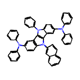 c1ccc(N(c2ccccc2)c2ccc3c(c2)c2c(c4cc(N(c5ccccc5)c5ccccc5)ccc4n2-c2ccccc2)n3-c2ccc3ccccc3c2)cc1